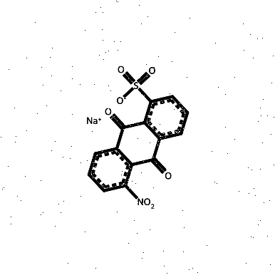 O=C1c2cccc(S(=O)(=O)[O-])c2C(=O)c2cccc([N+](=O)[O-])c21.[Na+]